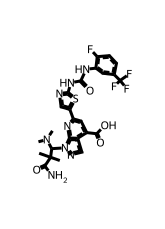 CN(C)C(n1ncc2c(C(=O)O)cc(-c3cnc(NC(=O)Nc4cc(C(F)(F)F)ccc4F)s3)nc21)C(C)(C)C(N)=O